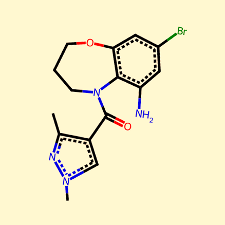 Cc1nn(C)cc1C(=O)N1CCCOc2cc(Br)cc(N)c21